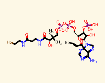 CCC=CC(=O)C12N=CN=C(N)C1=NCN2[C@@H]1O[C@H](COP(=O)(O)OP(=O)(O)OCC(C)(C)[C@@H](O)C(=O)NCCC(=O)NCCS)[C@@H](OP(=O)(O)O)[C@H]1O